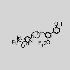 CCN(CC)C(=O)c1ccc(N2CCN(Cc3cc(OC(F)(F)F)cc(-c4cccc(O)c4)c3)CC2)nn1